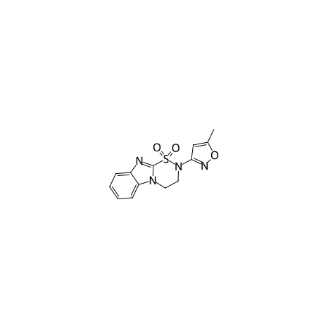 Cc1cc(N2CCn3c(nc4ccccc43)S2(=O)=O)no1